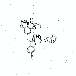 COc1cc(CC2c3cnc(F)cc3C(CC(=O)NCc3ccco3)N2C)cc(OC)c1B(O)O